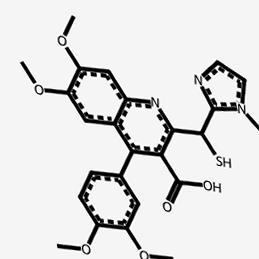 COc1ccc(-c2c(C(=O)O)c(C(S)c3nccn3C)nc3cc(OC)c(OC)cc23)cc1OC